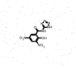 O=C(Nc1nnn[nH]1)c1cc([N+](=O)[O-])cc([N+](=O)[O-])c1O